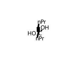 CCCC#CCCC.O=C(O)O